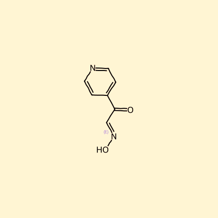 O=C(/C=N/O)c1ccncc1